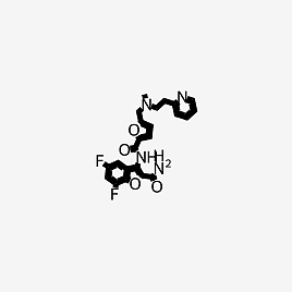 CN(CCc1ccccn1)Cc1ccc(C(=O)Nc2c(C(N)=O)oc3c(F)cc(F)cc23)o1